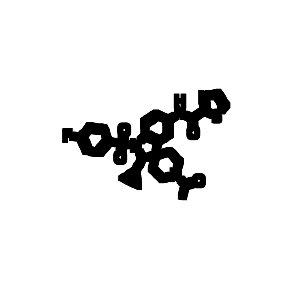 CC(=O)N1CCC2(CC1)c1cc(NC(=O)c3nccs3)ccc1N(S(=O)(=O)c1ccc(F)cc1)C2C1CC1